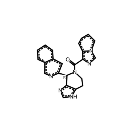 O=C(c1ncn2ccccc12)N1CCc2[nH]cnc2[C@H]1c1cc2ccccc2cn1